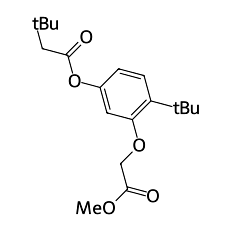 COC(=O)COc1cc(OC(=O)CC(C)(C)C)ccc1C(C)(C)C